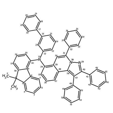 CC1(C)c2ccccc2-c2c(N(c3cccc(-c4ccccc4)c3)c3cccc4c3cc(-c3ccccc3)n3nc(-c5ccccc5)c(-c5ccccc5)c43)cccc21